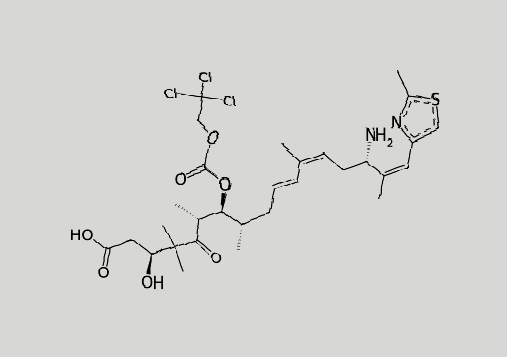 CC(C=CC[C@H](C)[C@H](OC(=O)OCC(Cl)(Cl)Cl)[C@@H](C)C(=O)C(C)(C)[C@@H](O)CC(=O)O)=CC[C@H](N)C(C)=Cc1csc(C)n1